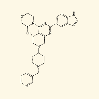 CC1COCCN1c1nc(-c2ccc3[nH]ccc3c2)nc2c1CCN(C1CCN(Cc3cccnc3)CC1)C2